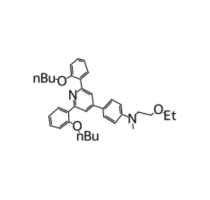 CCCCOc1ccccc1-c1cc(-c2ccc(N(C)CCOCC)cc2)cc(-c2ccccc2OCCCC)n1